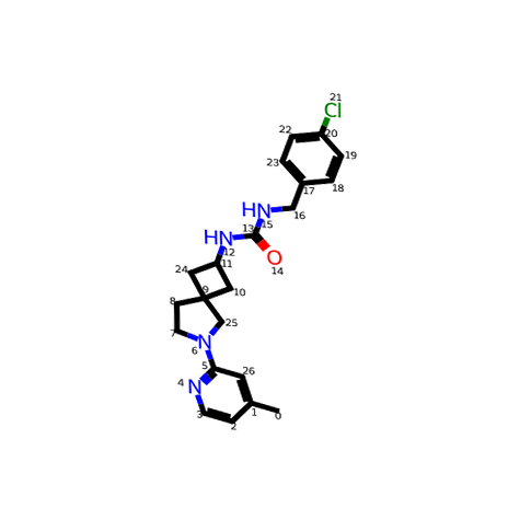 Cc1ccnc(N2CCC3(CC(NC(=O)NCc4ccc(Cl)cc4)C3)C2)c1